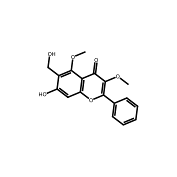 COc1c(-c2ccccc2)oc2cc(O)c(CO)c(OC)c2c1=O